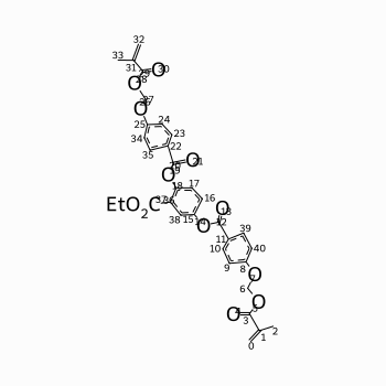 C=C(C)C(=O)OCOc1ccc(C(=O)Oc2ccc(OC(=O)c3ccc(OCOC(=O)C(=C)C)cc3)c(C(=O)OCC)c2)cc1